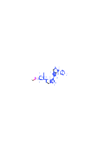 CCC(=O)Nc1cncc(-c2ccc3[nH]nc(-c4nc5c(N6CCN(C)CC6)nccc5[nH]4)c3n2)c1